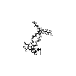 CCCCC(CCCC)C(CCCC)(CCCC)OB(O)O.CCCCCC[N+](CCCCCC)(CCCCCC)CCCCCC